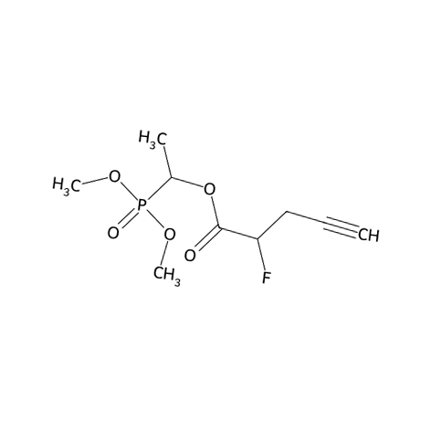 C#CCC(F)C(=O)OC(C)P(=O)(OC)OC